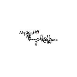 COC(=O)NC(C(=O)N1CCCC1c1ncc(-c2ccc(C#CC#Cc3cnc(C4CCCN4C(=O)[C@@H](NC(=O)OC)C(C)C)[nH]3)c(-c3ccc4ccccc4c3)c2)[nH]1)C(C)C.Cl.Cl